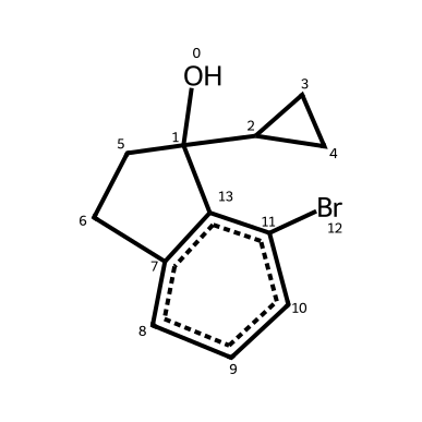 OC1(C2CC2)CCc2cccc(Br)c21